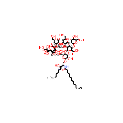 CCCCCCCCCCCCC/C=C/[C@@H](O)[C@H](CO[C@@H]1OC(CO)[C@@H](O[C@@H]2OC(CO)[C@H](O[C@@H]3OC(CO)[C@H](O)[C@H](O)C3NC(C)=O)[C@H](O[C@@H]3OC(CO)[C@@H](O[C@@H]4OC(CO)[C@H](O[C@@H]5OC(CO)[C@H](O)[C@H](O)C5NC(C)=O)[C@H](O[C@]5(C(=O)O)CC(O)[C@@H](NC(C)=O)C([C@H](O)[C@H](O)CO)O5)C4O)[C@H](O)C3NC(C)=O)C2O)[C@H](O)C1O)NC(=O)CCCCCCCCCCCCCCCCCCC